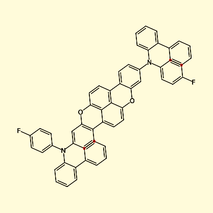 Fc1ccc(N(c2ccc3c(c2)Oc2ccc4c5c(ccc-3c25)Oc2cc(N(c3ccc(F)cc3)c3ccccc3-c3ccccc3)ccc2-4)c2ccccc2-c2ccccc2)cc1